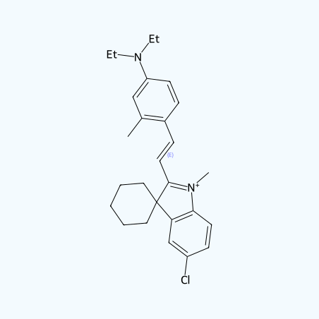 CCN(CC)c1ccc(/C=C/C2=[N+](C)c3ccc(Cl)cc3C23CCCCC3)c(C)c1